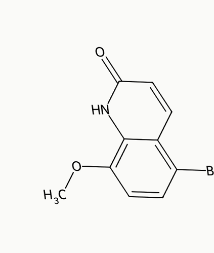 COc1ccc(Br)c2ccc(=O)[nH]c12